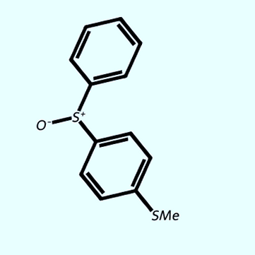 CSc1ccc([S+]([O-])c2ccccc2)cc1